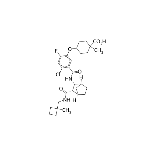 CC1(CNC(=O)[C@H]2[C@@H]3CC[C@@H](C3)[C@H]2NC(=O)c2cc(OC3CCC(C)(C(=O)O)CC3)c(F)cc2Cl)CCC1